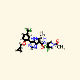 CC(=O)N1C[C@@H](NC(=O)c2c(C)[nH]c3c(-c4cc(C(F)F)ccc4OCC4CC4)ncnc23)C(F)(F)C1